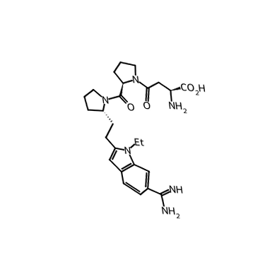 CCn1c(CC[C@@H]2CCCN2C(=O)[C@H]2CCCN2C(=O)C[C@H](N)C(=O)O)cc2ccc(C(=N)N)cc21